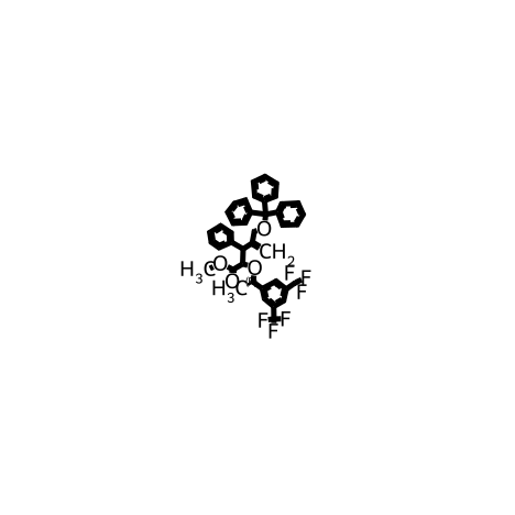 C=C(COC(c1ccccc1)(c1ccccc1)c1ccccc1)C(c1ccccc1)C(O[C@H](C)c1cc(C(F)(F)F)cc(C(F)(F)F)c1)C(=O)OC